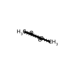 CCCCCCCCOC(=O)CCCCCCCCC(=O)CCCCCC